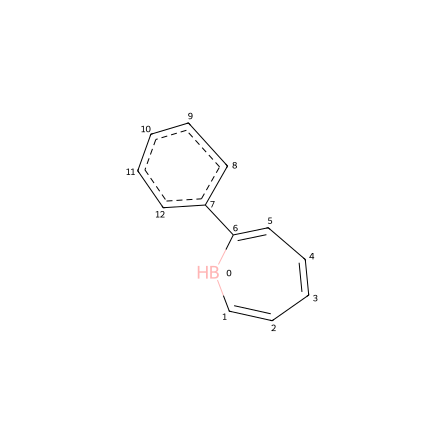 B1C=CC=CC=C1c1ccccc1